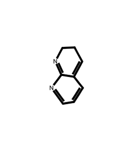 C1=c2cccnc2=NCC1